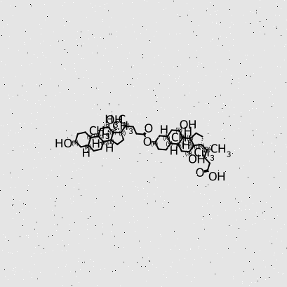 C[C@H](CCC(=O)O[C@@H]1CC[C@@]2(C)[C@@H](C1)C[C@H](O)[C@@H]1[C@@H]2C[C@H](O)[C@]2(C)[C@@H]([C@H](C)CCC(=O)O)CC[C@@H]12)[C@H]1CC[C@H]2[C@@H]3CC[C@@H]4C[C@H](O)CC[C@]4(C)[C@H]3C[C@H](O)[C@]12C